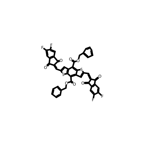 O=C1C(=Cc2cc3c(C(=O)OCc4ccccc4)c4sc(C=C5C(=O)c6cc(F)c(F)cc6C5=O)cc4c(C(=O)OCc4ccccc4)c3s2)C(=O)c2cc(F)c(F)cc21